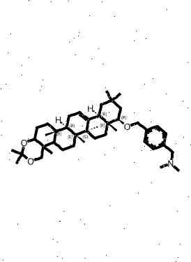 CN(C)Cc1ccc(CO[C@@H]2CC(C)(C)C[C@@H]3C4=CC[C@@H]5[C@@]6(C)CCC7OC(C)(C)OCC7(C)C6CC[C@@]5(C)[C@]4(C)CC[C@]32C)cc1